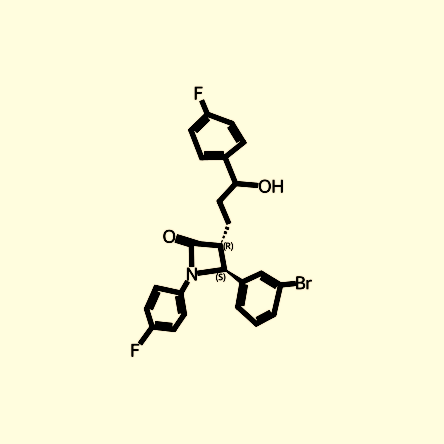 O=C1[C@H](CCC(O)c2ccc(F)cc2)[C@@H](c2cccc(Br)c2)N1c1ccc(F)cc1